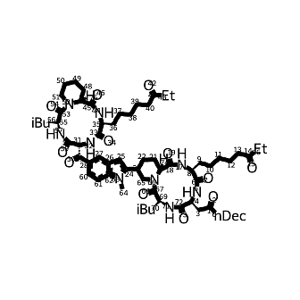 CCCCCCCCCCC(=O)C[C@@H]1NC(=O)[C@H](CCCCCC(=O)CC)NC(=O)[C@H]2CCC(c3cc4cc(C(=O)[C@H]5NC(=O)[C@H](CCCCCC(=O)CC)NC(=O)[C@H]6CCCCN6C(=O)[C@H]([C@H](C)CC)NC5=O)ccc4n3C)CN2C(=O)[C@H]([C@H](C)CC)NC1=O